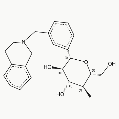 C[C@H]1[C@H](O)[C@@H](O)[C@H](c2cccc(CN3CCc4ccccc4C3)c2)O[C@@H]1CO